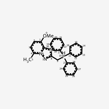 COc1ccc(C)n2nc(C[PH](c3ccccc3)(c3ccccc3)c3ccccc3)nc12